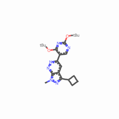 Cn1nc(C2CCC2)c2cc(-c3cnc(OC(C)(C)C)nc3OC(C)(C)C)nnc21